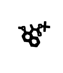 COc1ccc2ccccc2c1C(C)C(=O)OC(C)(C)C